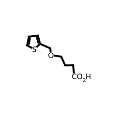 O=C(O)CCCOCc1cccs1